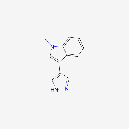 Cn1cc(-c2cn[nH]c2)c2ccccc21